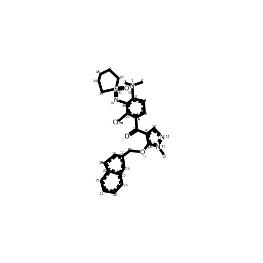 CN(C)c1ccc(C(=O)c2cnn(C)c2OCc2ccc3ccccc3c2)c(Cl)c1N=S1(=O)CCCCC1